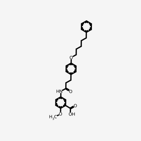 COc1ccc(NC(=O)CCc2ccc(OCCCCCc3ccccc3)cc2)cc1C(=O)O